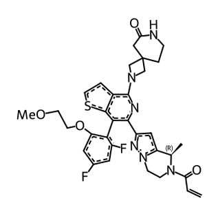 C=CC(=O)N1CCn2nc(-c3nc(N4CC5(CCNC(=O)C5)C4)c4ccsc4c3-c3c(F)cc(F)cc3OCCOC)cc2[C@H]1C